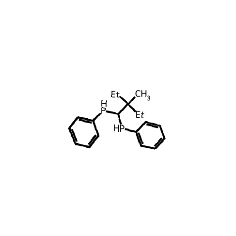 CCC(C)(CC)C(Pc1ccccc1)Pc1ccccc1